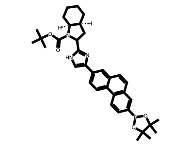 CC(C)(C)OC(=O)N1C(c2nc(-c3ccc4c(ccc5cc(B6OC(C)(C)C(C)(C)O6)ccc54)c3)c[nH]2)C[C@@H]2CCCC[C@@H]21